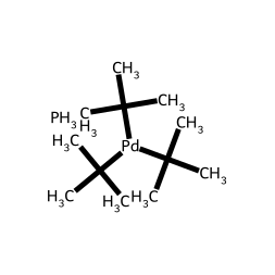 C[C](C)(C)[Pd]([C](C)(C)C)[C](C)(C)C.P